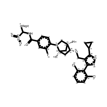 CCCCCCCC(NC(=O)c1ccc(N2C[C@@H]3C[C@H]2C[C@H]3OCc2c(-c3c(Cl)cccc3Cl)noc2C2CC2)c(F)c1)[SH](=O)=O